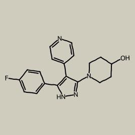 OC1CCN(c2n[nH]c(-c3ccc(F)cc3)c2-c2ccncc2)CC1